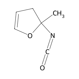 CC1(N=C=O)CC=CO1